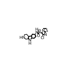 O=S(=O)(Nc1ccc2[nH]c3c(c2c1)CCNC3)c1c(Cl)nc2sccn12